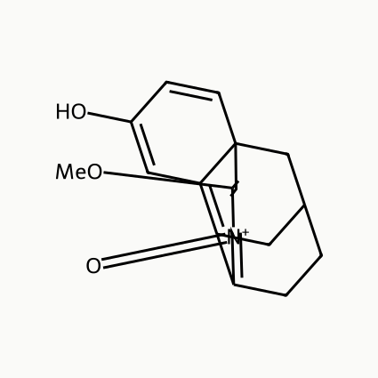 CO/C1=C/C23C=CC(O)=CC2=C2CC(CC/C2=C/[N+]1=O)C3